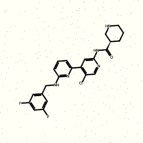 O=C(Nc1cc(-c2cccc(NCc3cc(F)cc(F)c3)n2)c(Cl)cn1)[C@@H]1CCCNC1